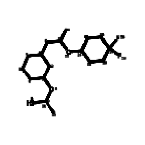 CC(CC1CCCC(O[C@@H](C)S)C1)OC1CCC(F)(F)CC1